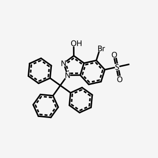 CS(=O)(=O)c1ccc2c(c(O)nn2C(c2ccccc2)(c2ccccc2)c2ccccc2)c1Br